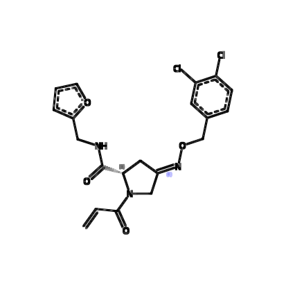 C=CC(=O)N1C/C(=N/OCc2ccc(Cl)c(Cl)c2)C[C@H]1C(=O)NCc1ccco1